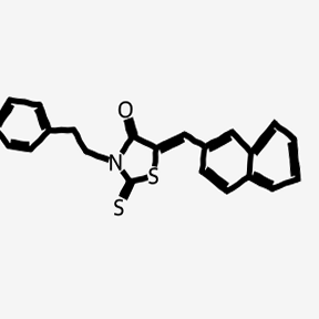 O=C1/C(=C/c2ccc3ccccc3c2)SC(=S)N1CCc1ccccc1